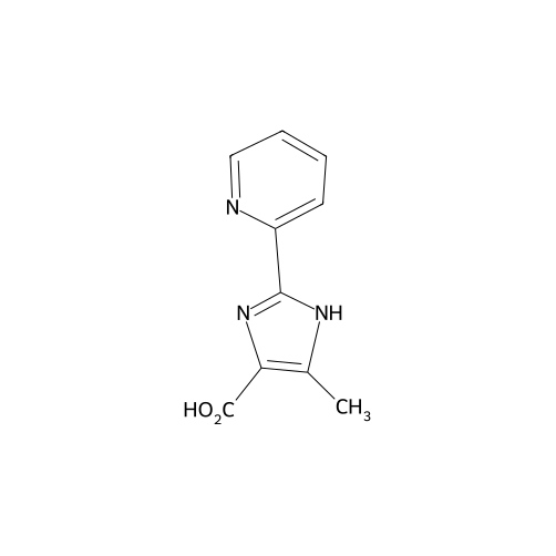 Cc1[nH]c(-c2ccccn2)nc1C(=O)O